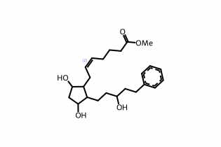 COC(=O)CCC/C=C\CC1C(O)CC(O)C1CCC(O)CCc1ccccc1